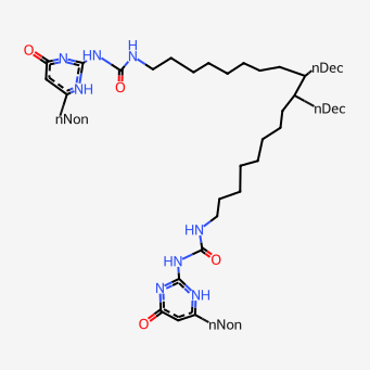 CCCCCCCCCCC(CCCCCCCCNC(=O)Nc1nc(=O)cc(CCCCCCCCC)[nH]1)C(CCCCCCCCCC)CCCCCCCCNC(=O)Nc1nc(=O)cc(CCCCCCCCC)[nH]1